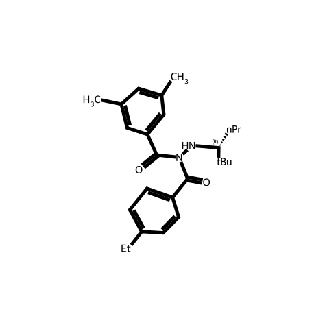 CCC[C@@H](NN(C(=O)c1ccc(CC)cc1)C(=O)c1cc(C)cc(C)c1)C(C)(C)C